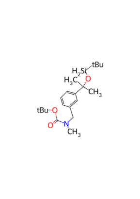 CN(Cc1cccc(C(C)(C)O[SiH2]C(C)(C)C)c1)C(=O)OC(C)(C)C